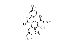 COC(=O)C1=C(C)N(C)C(CN2CCCC2)=C(C(=O)OC)C1c1ccc(C(F)(F)F)cc1